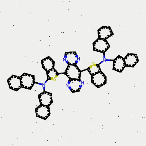 c1ccc2cc(N(c3ccc4ccccc4c3)c3sc(-c4c5nccnc5c(-c5sc(N(c6ccc7ccccc7c6)c6ccc7ccccc7c6)c6ccccc56)c5nccnc45)c4ccccc34)ccc2c1